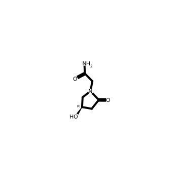 NC(=O)CN1C[C@H](O)CC1=O